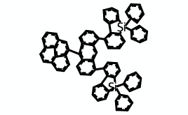 c1ccc([Si]2(c3ccccc3)c3ccccc3-c3c(-c4cccc5c(-c6cc7cccc8ccc9cccc6c9c87)c6cccc(-c7cccc8c7-c7ccccc7[Si]8(c7ccccc7)c7ccccc7)c6cc45)cccc32)cc1